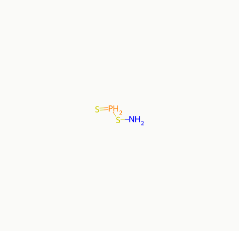 NS[PH2]=S